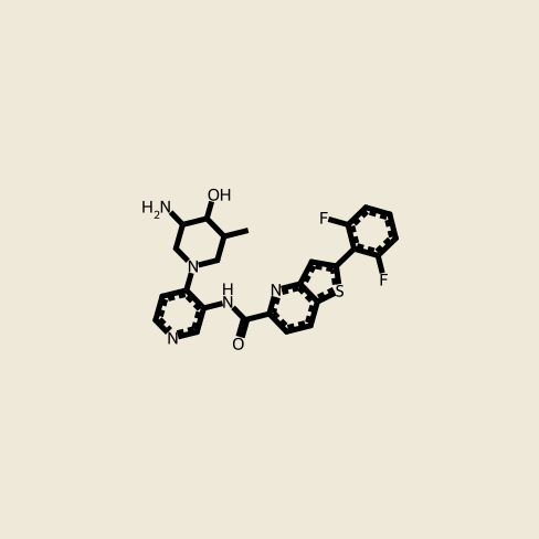 CC1CN(c2ccncc2NC(=O)c2ccc3sc(-c4c(F)cccc4F)cc3n2)CC(N)C1O